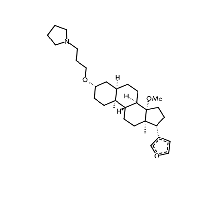 CO[C@]12CC[C@H](c3ccoc3)[C@@]1(C)CC[C@H]1[C@H]2CC[C@@H]2C[C@@H](OCCCN3CCCC3)CC[C@@]21C